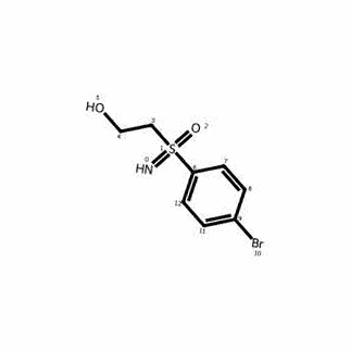 N=S(=O)(CCO)c1ccc(Br)cc1